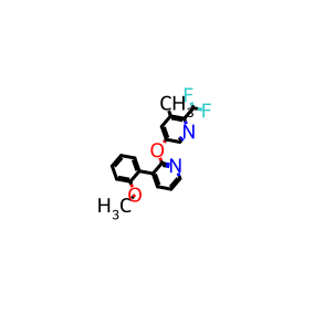 COc1ccccc1-c1cccnc1Oc1cnc(C(F)F)c(C)c1